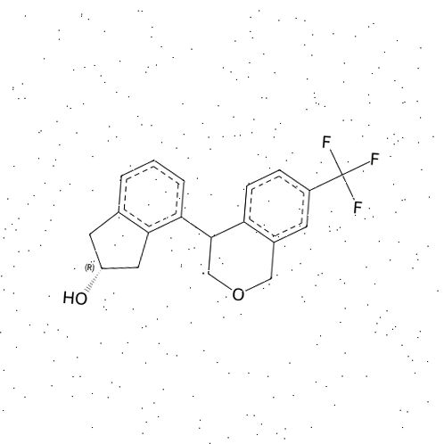 O[C@@H]1Cc2cccc(C3[CH]OCc4cc(C(F)(F)F)ccc43)c2C1